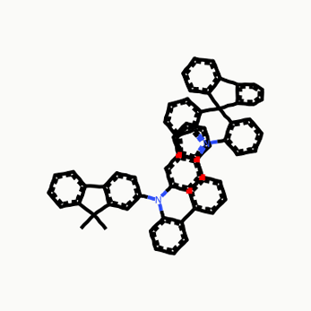 CC1(C)c2ccccc2-c2ccc(N(c3ccc4c(c3)c3cccc5c3n4-c3ccccc3C53c4ccccc4-c4ccccc43)c3ccccc3-c3cccc(-c4ccccc4)c3)cc21